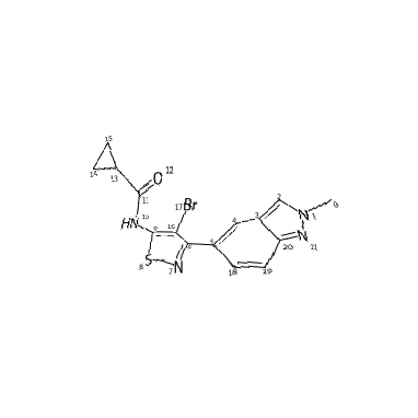 Cn1cc2cc(-c3nsc(NC(=O)C4CC4)c3Br)ccc2n1